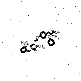 COc1ccccc1CN1C[C@H](CCOc2ccc(C[C@](C)(Oc3ccccc3)C(=O)O)cc2)N(C)C1=O